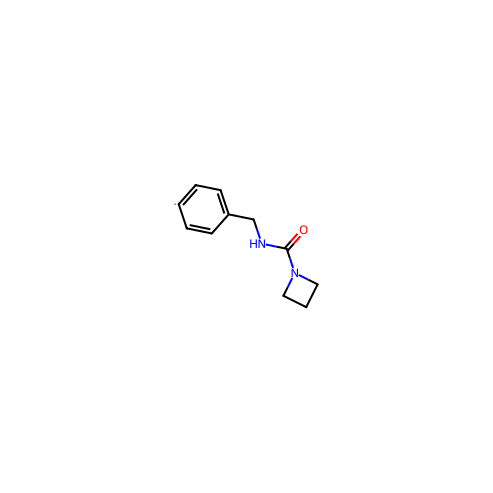 O=C(NCc1cc[c]cc1)N1CCC1